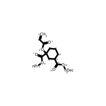 C=CC(=O)OC1(C(=O)OCCC)CCCC(C(=O)OCCCCCCCCCC)C1